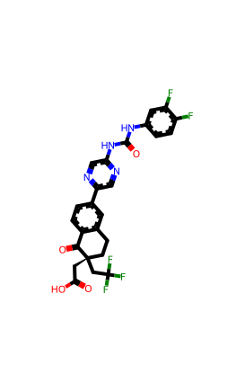 O=C(O)C[C@]1(CC(F)(F)F)CCc2cc(-c3cnc(NC(=O)Nc4ccc(F)c(F)c4)cn3)ccc2C1=O